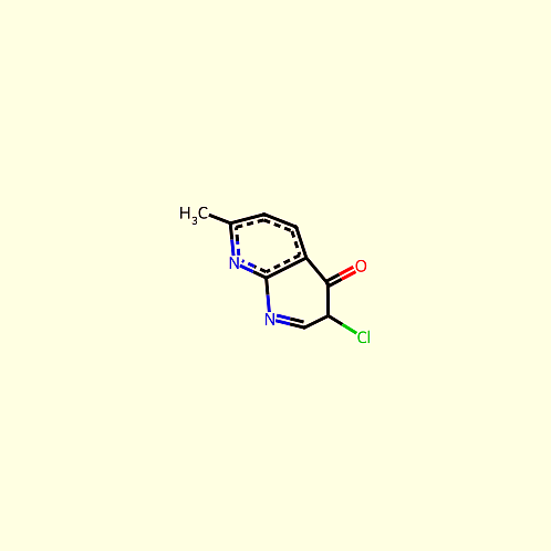 Cc1ccc2c(n1)N=CC(Cl)C2=O